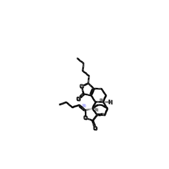 CCC/C=C1\OC(=O)C2=CC3CC[C@]21C1C2=C(CC[C@@H]31)C(CCCC)OC2=O